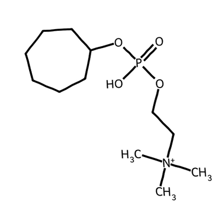 C[N+](C)(C)CCOP(=O)(O)OC1CCCCCC1